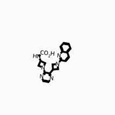 O=C(O)NC1CN(c2nccnc2C2CN(c3ccc4ccccc4n3)C2)C1